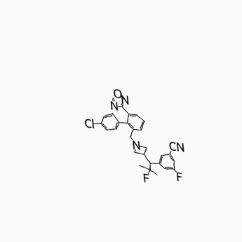 CC(C)(F)[C@H](c1cc(F)cc(C#N)c1)C1CN(Cc2cccc(-c3ncon3)c2-c2ccc(Cl)cc2)C1